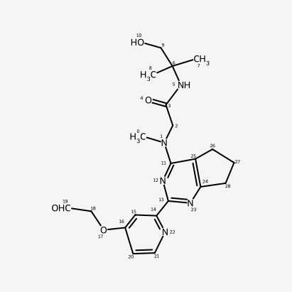 CN(CC(=O)NC(C)(C)CO)c1nc(-c2cc(OCC=O)ccn2)nc2c1CCC2